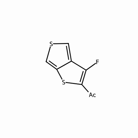 CC(=O)c1sc2cscc2c1F